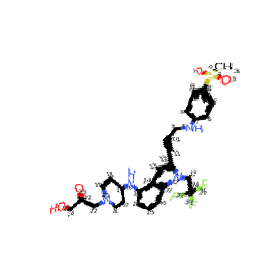 CS(=O)(=O)c1ccc(NCC#Cc2cc3c(NC4CCN(CC(=O)CO)CC4)cccc3n2CC(F)(F)F)cc1